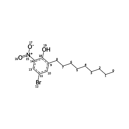 CCCCCCCCCc1cc(Br)cc([N+](=O)[O-])c1O